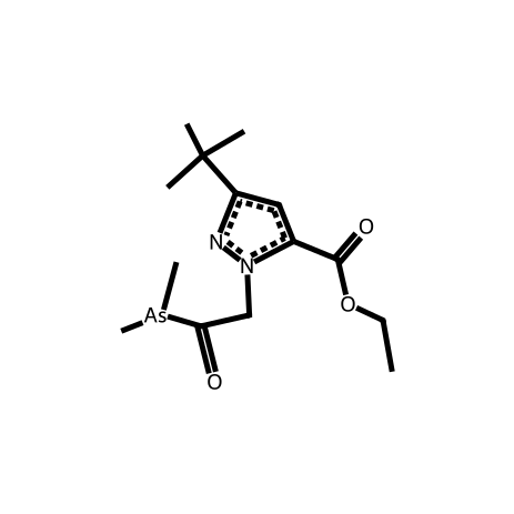 CCOC(=O)c1cc(C(C)(C)C)nn1CC(=O)[As](C)C